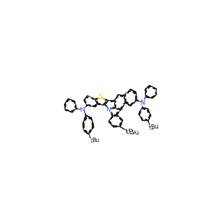 CC(C)(C)c1ccc(N(c2ccccc2)c2ccc3cc4c5sc6ccc(N(c7ccccc7)c7ccc(C(C)(C)C)cc7)cc6c5n5c6ccc(C(C)(C)C)cc6c(c3c2)c45)cc1